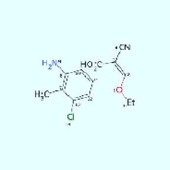 CCOC=C(C#N)C(=O)O.Cc1c(N)cccc1Cl